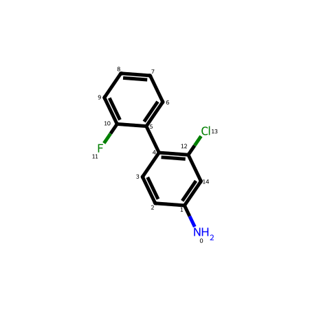 Nc1ccc(-c2ccccc2F)c(Cl)c1